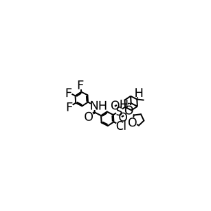 C[C@H]1C2CC(S(=O)(=O)c3cc(C(=O)Nc4cc(F)c(F)c(F)c4)ccc3Cl)CC1[C@@H]2OC1CCCO1